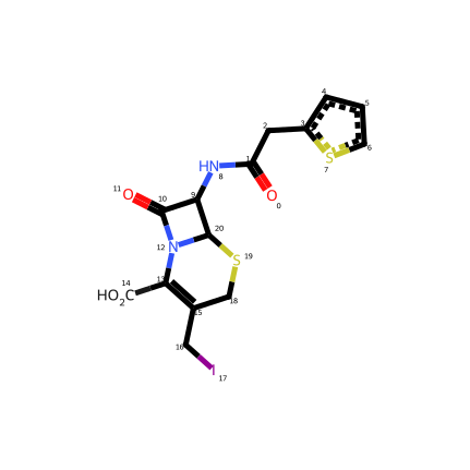 O=C(Cc1cccs1)NC1C(=O)N2C(C(=O)O)=C(CI)CSC12